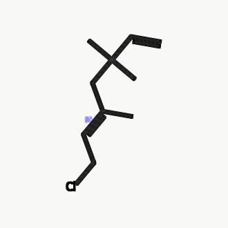 C=CC(C)(C)C/C(C)=C/CCl